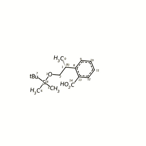 C[C@@H](CO[Si](C)(C)C(C)(C)C)c1ccccc1C(=O)O